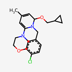 CC1=CC(OCC2CC2)N(Cc2ccc(Cl)cc2)C(N2CCOCC2)=C1